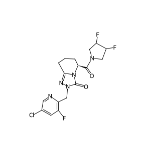 O=C([C@@H]1CCCc2nn(Cc3ncc(Cl)cc3F)c(=O)n21)N1CC(F)C(F)C1